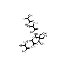 O=C(O)C(O)S.O=C(O)C(O)S.O=C(O)C(O)S.O=C(O)C(O)S.OCC(CO)(CO)CO